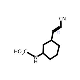 N#C/C=C/C1CCCC(NC(=O)O)C1